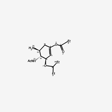 CCC(=O)OC1=C[C@@H](OC(CC)CC)[C@H](NC(C)=O)[C@@H](N)C1